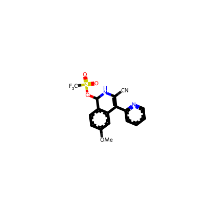 COc1ccc2c(c1)C(c1ccccn1)=C(C#N)NC2OS(=O)(=O)C(F)(F)F